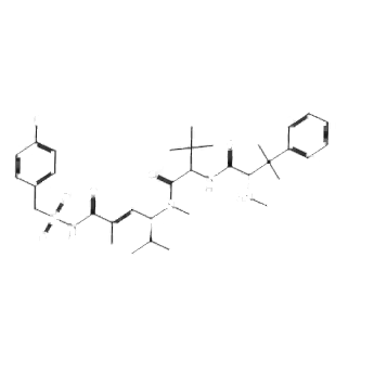 CN[C@H](C(=O)NC(C(=O)N(C)[C@H](/C=C(\C)C(=O)NS(=O)(=O)Cc1ccc(F)cc1)C(C)C)C(C)(C)C)C(C)(C)c1ccccc1